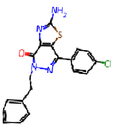 Nc1nc2c(=O)n(CCc3ccccc3)nc(-c3ccc(Cl)cc3)c2s1